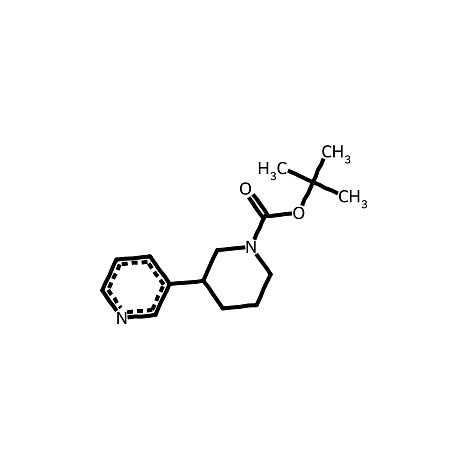 CC(C)(C)OC(=O)N1CCCC(c2cccnc2)C1